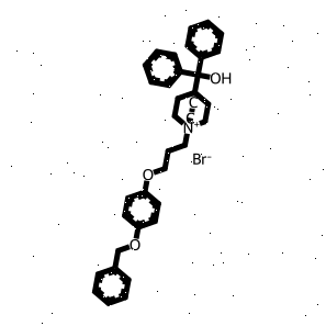 OC(c1ccccc1)(c1ccccc1)C12CC[N+](CCCOc3ccc(OCc4ccccc4)cc3)(CC1)CC2.[Br-]